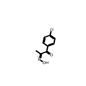 C/C(=N/O)C(=O)c1ccc(Cl)cc1